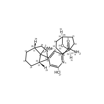 COC1(c2ccnc(C(N)=O)c2)[C@@H]2CCC[C@H]1CN([C@@H]1C[C@H]3CC[C@@H](C1)O3)C2.Cl